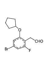 O=CCc1c(F)cc(Br)cc1OC1CCCC1